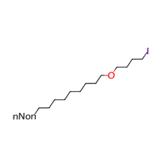 CCCCCCCCCCCCCCCCCCOCCCCI